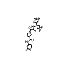 Cc1cc(NC(=O)[C@H]2CCN(C(=O)C(=O)NC3(c4c[nH]nn4)CC(F)(F)C3)C2)ccc1F